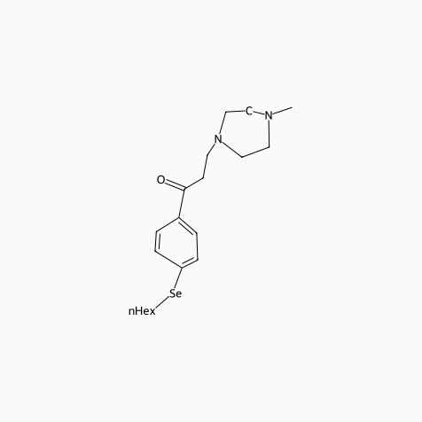 CCCCCC[Se]c1ccc(C(=O)CCN2CCN(C)CC2)cc1